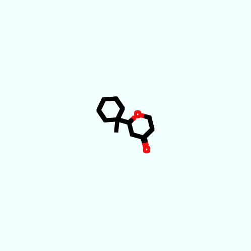 CC1(C2CC(=O)CCO2)CCCCC1